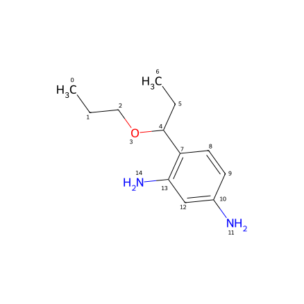 CCCOC(CC)c1ccc(N)cc1N